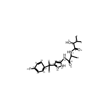 CC(NC(=O)C(O)C(C)C)C(=O)Nc1cc(C(C)(C)c2ccc(F)cc2)n[nH]1